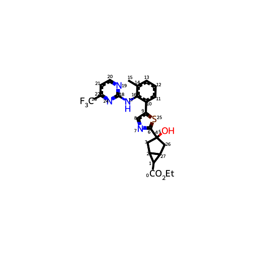 CCOC(=O)C1C2CC(O)(c3ncc(-c4cccc(C)c4Nc4nccc(C(F)(F)F)n4)s3)CC21